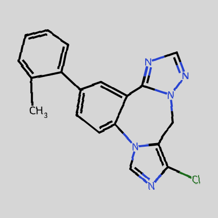 Cc1ccccc1-c1ccc2c(c1)-c1ncnn1Cc1c(Cl)ncn1-2